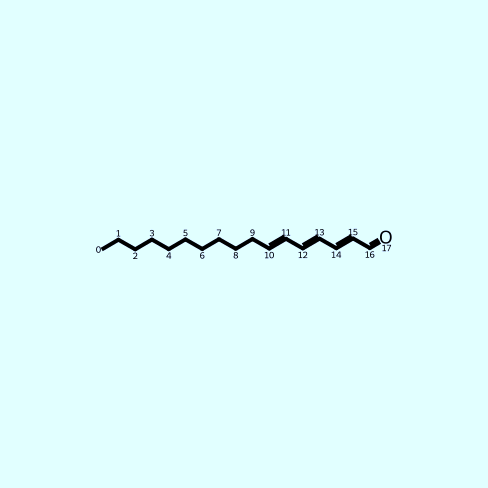 CCCCCCCCCCC=CC=CC=CC=O